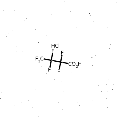 Cl.O=C(O)C(F)(F)C(F)(F)C(F)(F)F